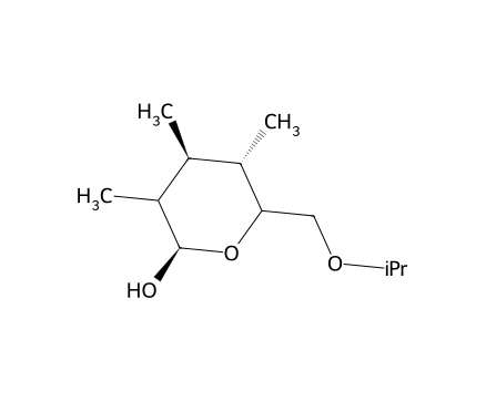 CC(C)OCC1O[C@@H](O)C(C)[C@@H](C)[C@@H]1C